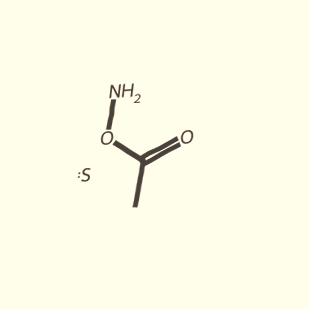 CC(=O)ON.[S]